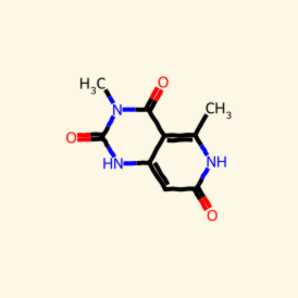 Cc1[nH]c(=O)cc2[nH]c(=O)n(C)c(=O)c12